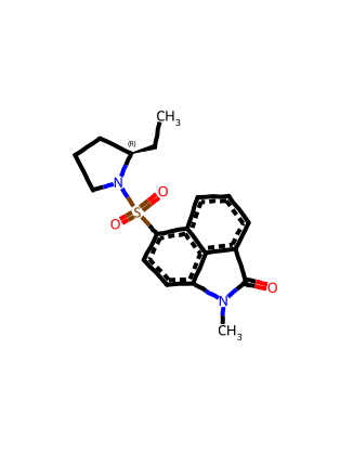 CC[C@@H]1CCCN1S(=O)(=O)c1ccc2c3c(cccc13)C(=O)N2C